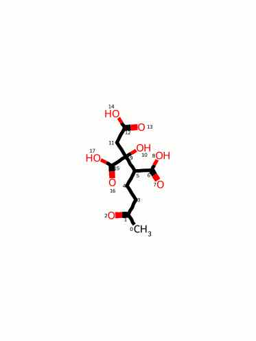 CC(=O)CCC(C(=O)O)C(O)(CC(=O)O)C(=O)O